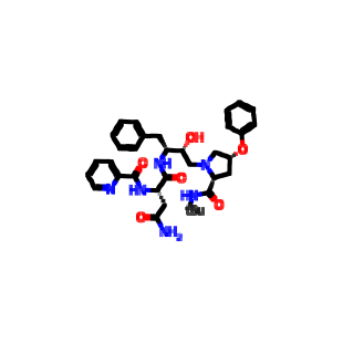 CC(C)(C)NC(=O)[C@@H]1C[C@@H](Oc2ccccc2)CN1C[C@@H](O)[C@H](Cc1ccccc1)NC(=O)[C@H](CC(N)=O)NC(=O)c1ccccn1